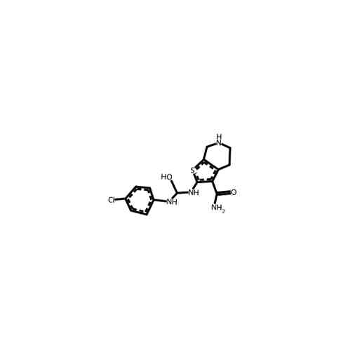 NC(=O)c1c(NC(O)Nc2ccc(Cl)cc2)sc2c1CCNC2